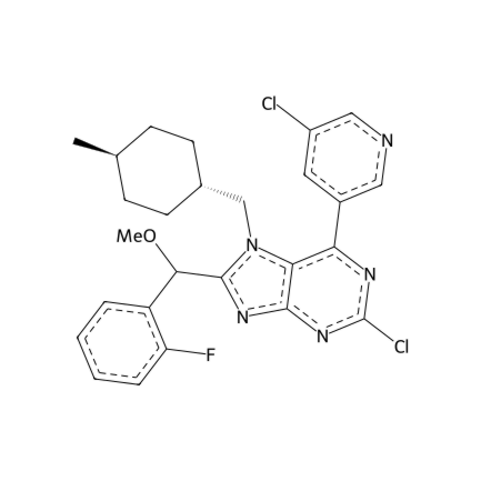 COC(c1ccccc1F)c1nc2nc(Cl)nc(-c3cncc(Cl)c3)c2n1C[C@H]1CC[C@H](C)CC1